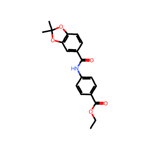 CCOC(=O)c1ccc(NC(=O)c2ccc3c(c2)OC(C)(C)O3)cc1